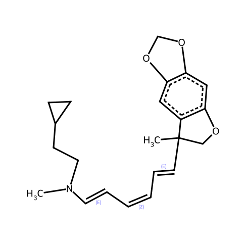 CN(/C=C/C=C\C=C\C1(C)COc2cc3c(cc21)OCO3)CCC1CC1